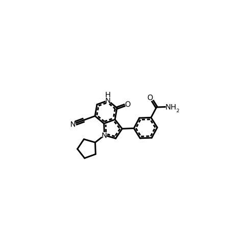 N#Cc1c[nH]c(=O)c2c(-c3cccc(C(N)=O)c3)cn(C3CCCC3)c12